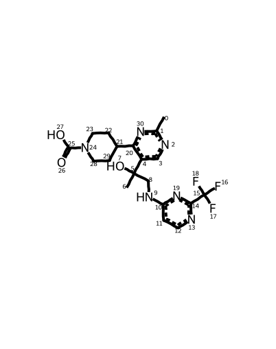 Cc1ncc(C(C)(O)CNc2ccnc(C(F)(F)F)n2)c(C2CCN(C(=O)O)CC2)n1